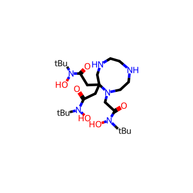 CC(C)(C)N(O)C(=O)CN1CCNCCNCC1(CC(=O)N(O)C(C)(C)C)CC(=O)N(O)C(C)(C)C